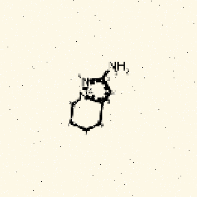 Nc1cc2n(n1)CCCC2